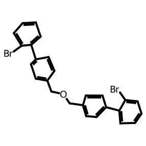 Brc1ccccc1-c1ccc(COCc2ccc(-c3ccccc3Br)cc2)cc1